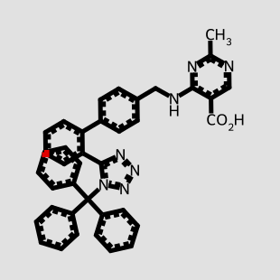 Cc1ncc(C(=O)O)c(NCc2ccc(-c3ccccc3-c3nnnn3C(c3ccccc3)(c3ccccc3)c3ccccc3)cc2)n1